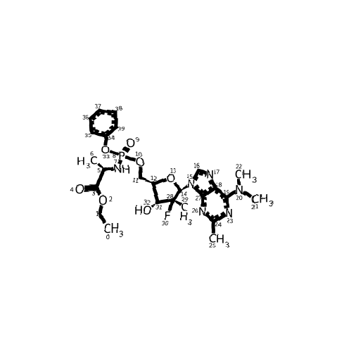 CCOC(=O)[C@@H](C)NP(=O)(OC[C@H]1O[C@@H](n2cnc3c(N(C)C)nc(C)nc32)[C@](C)(F)[C@@H]1O)Oc1ccccc1